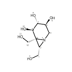 OC[C@H]1N2C[C@H](O)[C@@H](O)[C@H](O)[C@]12CO